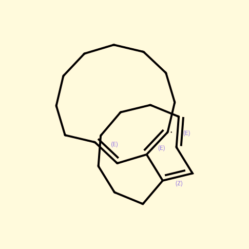 [C]1=C(/C2=C\C=C\CCCCCC2)\C=C\CCCCCCCC/1